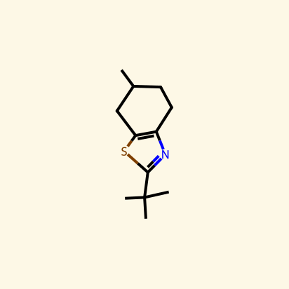 CC1CCc2nc(C(C)(C)C)sc2C1